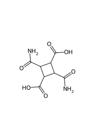 NC(=O)C1C(C(=O)O)C(C(N)=O)C1C(=O)O